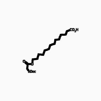 CCCCCCCCCCCC(=O)OCCCCCCCCCCCCCC(=O)O